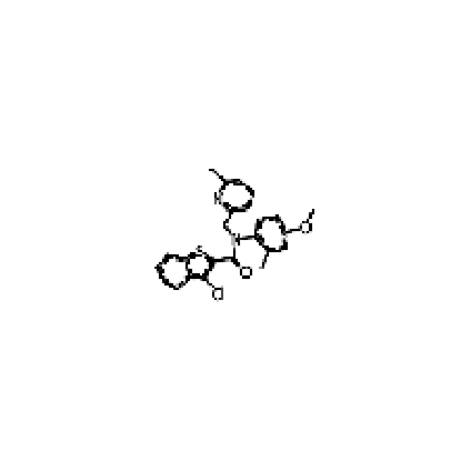 COc1ccc(N(Cc2cccc(C)n2)C(=O)c2sc3ccccc3c2Cl)c(C)c1